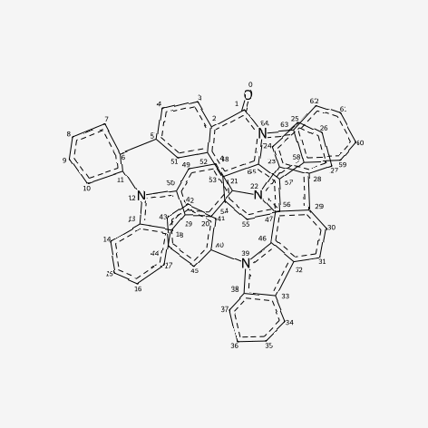 O=c1c2ccc(-c3ccccc3-n3c4ccccc4c4cc(-n5c6ccccc6c6ccc7c8ccccc8n(-c8ccccc8)c7c65)ccc43)cc2c2cccc3c4ccccc4n1c23